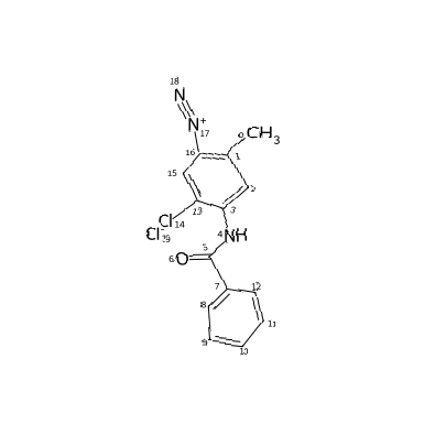 Cc1cc(NC(=O)c2ccccc2)c(Cl)cc1[N+]#N.[Cl-]